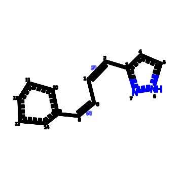 C(/C=C\c1cc[nH]n1)=C/c1ccccc1